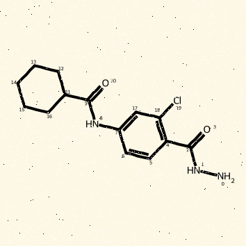 NNC(=O)c1ccc(NC(=O)C2CCCCC2)cc1Cl